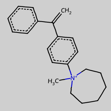 C=C(c1ccccc1)c1ccc([N+]2(C)CCCCCC2)cc1